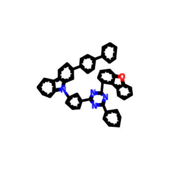 c1ccc(-c2ccc(-c3ccc4c5ccccc5n(-c5cccc(-c6nc(-c7ccccc7)nc(-c7cccc8oc9ccccc9c78)n6)c5)c4c3)cc2)cc1